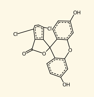 O=C1OC2(c3ccc(O)cc3Oc3cc(O)ccc32)c2c(Cl)ccc(Cl)c21